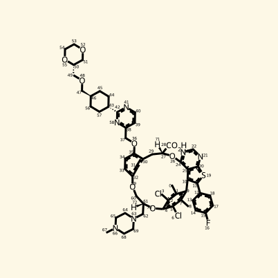 Cc1c(Cl)c2c(Cl)c(C)c1-c1c(-c3ccc(F)cc3)sc3ncnc(c13)O[C@@H](C(=O)O)Cc1cc(ccc1OCc1ccnc([C@H]3CC[C@H](COC[C@H]4COCCO4)CC3)n1)OC[C@@H](CN1CCN(C)CC1)O2